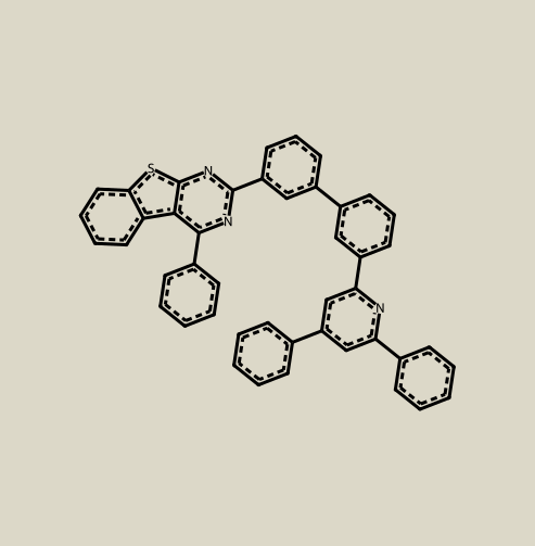 c1ccc(-c2cc(-c3ccccc3)nc(-c3cccc(-c4cccc(-c5nc(-c6ccccc6)c6c(n5)sc5ccccc56)c4)c3)c2)cc1